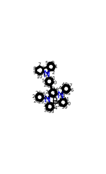 c1ccc2c(c#1)C1C=CC=CC1N2c1ccc(-c2cc3c4c(c2)N(c2ccccc2)c2ccccc2B4c2ccccc2N3c2ccccc2)cc1